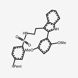 CCCCCc1ccc(S(=O)(=O)NCCc2c(-c3cc(OC)ccc3OC)[nH]c3ccccc23)cc1